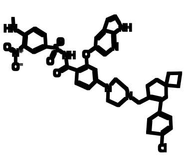 CNc1ccc(S(=O)(=O)NC(=O)c2ccc(N3CCN(CC4=C(c5ccc(Cl)cc5)CC5(CCC5)CC4)CC3)cc2Oc2cnc3[nH]ccc3c2)cc1[N+](=O)[O-]